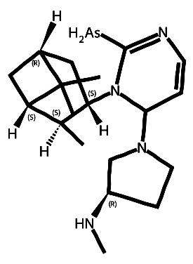 CN[C@@H]1CCN(C2C=CN=C([AsH2])N2[C@H]2C[C@H]3C[C@@H]([C@@H]2C)C3(C)C)C1